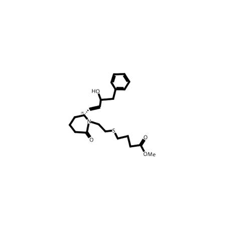 COC(=O)CCCSCCN1C(=O)CCC[C@@H]1C=CC(O)Cc1ccccc1